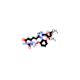 COc1cccc(OC)c1-n1c(CCc2cc(=O)[nH]c(=O)[nH]2)nnc1-c1ccc(C)o1